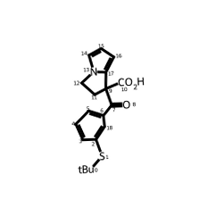 CC(C)(C)Sc1cccc(C(=O)C2(C(=O)O)CCn3cccc32)c1